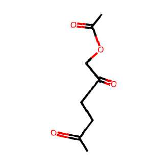 CC(=O)CCC(=O)COC(C)=O